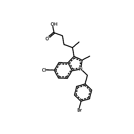 Cc1c(C(C)CCC(=O)O)c2cc(Cl)ccc2n1Cc1ccc(Br)cc1